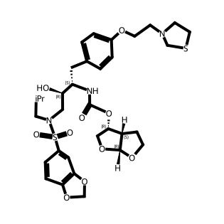 CC(C)CN(C[C@@H](O)[C@H](Cc1ccc(OCCN2CCSC2)cc1)NC(=O)O[C@H]1CO[C@H]2OCC[C@H]21)S(=O)(=O)c1ccc2c(c1)OCO2